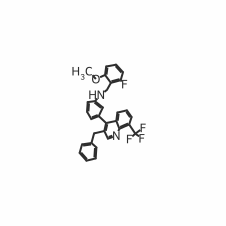 COc1cccc(F)c1CNc1cccc(-c2c(Cc3ccccc3)cnc3c(C(F)(F)F)cccc23)c1